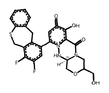 O=C1c2c(O)c(=O)cc(-c3cc(F)c(F)c4c3Cc3ccccc3SC4)n2N[C@@H]2COC(CO)CN12